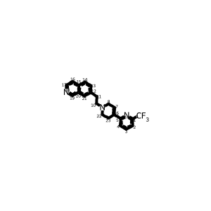 FC(F)(F)c1cccc(C2=CCN(CCc3ccc4ccncc4c3)CC2)n1